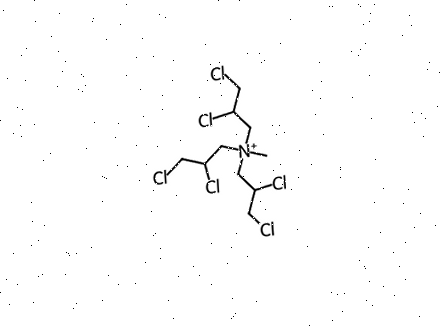 C[N+](CC(Cl)CCl)(CC(Cl)CCl)CC(Cl)CCl